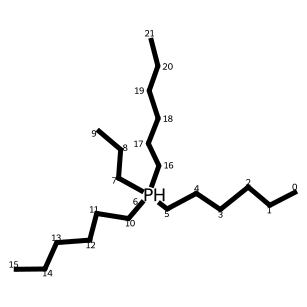 CCCCCC[PH](CCC)(CCCCCC)CCCCCC